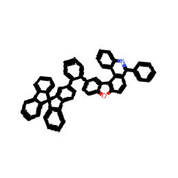 c1ccc(-c2nc3ccccc3c3c2ccc2oc4ccc(-c5ccccc5-c5ccc6c(c5)C5(c7ccccc7-c7ccccc75)c5ccccc5-6)cc4c23)cc1